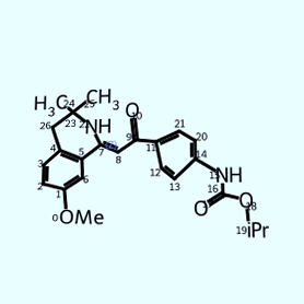 COc1ccc2c(c1)/C(=C/C(=O)c1ccc(NC(=O)OC(C)C)cc1)NC(C)(C)C2